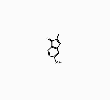 COc1ccc2c(c1)C=C(C)C2=O